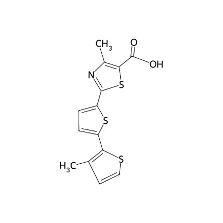 Cc1ccsc1-c1ccc(-c2nc(C)c(C(=O)O)s2)s1